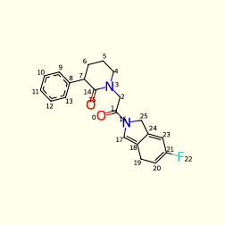 O=C(CN1CCCC(c2ccccc2)C1=O)N1C=C2CC=C(F)C=C2C1